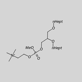 CCCCCCCOCC(COP(=O)(OC)OCC[N+](C)(C)C)OCCCCCCC